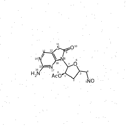 CC(=O)O[C@@H]1CC(CN=O)OC1n1c(=O)sc2cnc(N)nc21